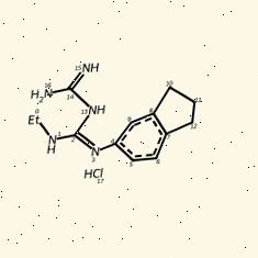 CCNC(=Nc1ccc2c(c1)CCC2)NC(=N)N.Cl